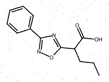 CCCC(C(=O)O)c1nc(-c2ccccc2)no1